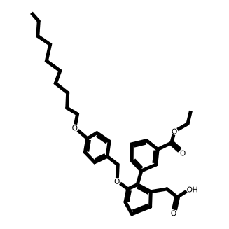 CCCCCCCCCCOc1ccc(COc2cccc(CC(=O)O)c2-c2cccc(C(=O)OCC)c2)cc1